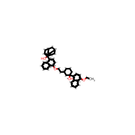 CCOc1ccc(C2(O)CCCC(CCOc3ccc(C4(O)C5CC6CC(C5)CC4C6)c4ccccc34)C2)c2ccccc12